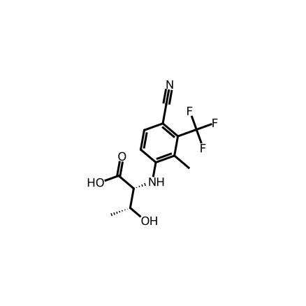 Cc1c(N[C@@H](C(=O)O)[C@@H](C)O)ccc(C#N)c1C(F)(F)F